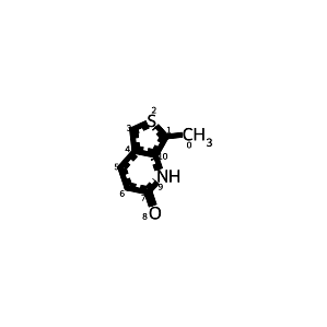 Cc1scc2ccc(=O)[nH]c12